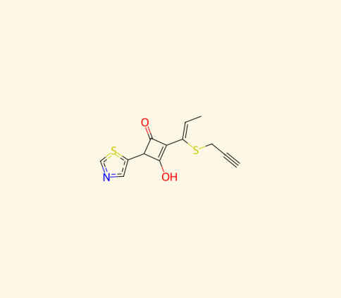 C#CCS/C(=C\C)C1=C(O)C(c2cncs2)C1=O